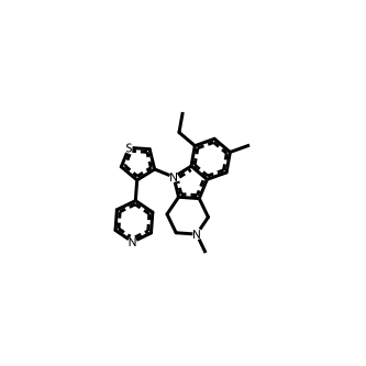 CCc1cc(C)cc2c3c(n(-c4cscc4-c4ccncc4)c12)CCN(C)C3